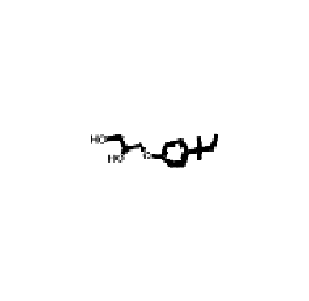 CCC(C)(C)c1ccc(OCC(O)[CH]O)cc1